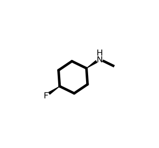 CN[C@H]1CC[C@@H](F)CC1